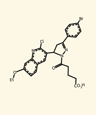 CCOc1ccc2cc(C3CC(c4ccc(Br)cc4)=NN3C(=O)CCCC(=O)O)c(Cl)nc2c1